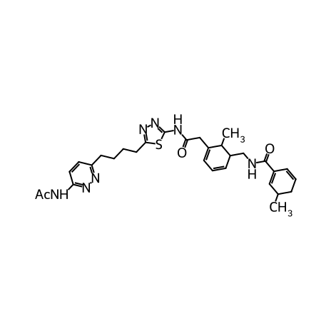 CC(=O)Nc1ccc(CCCCc2nnc(NC(=O)CC3=CC=CC(CNC(=O)C4=CC(C)CC=C4)C3C)s2)nn1